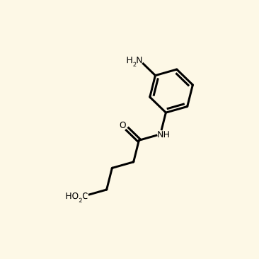 Nc1cccc(NC(=O)CCCC(=O)O)c1